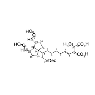 CCCCCCCCCCCC(CCCCC=CC(C(=O)O)C(C)C(=O)O)C12CCC(NOO)C1C(NOO)CC2